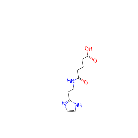 O=C(O)CCCC(=O)NCCc1ncc[nH]1